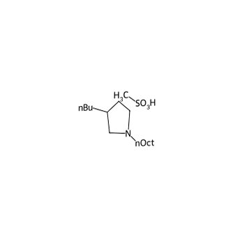 CCCCCCCCN1CCC(CCCC)C1.CS(=O)(=O)O